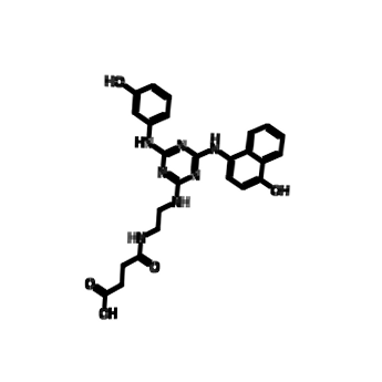 O=C(O)CCC(=O)NCCNc1nc(Nc2cccc(O)c2)nc(Nc2ccc(O)c3ccccc23)n1